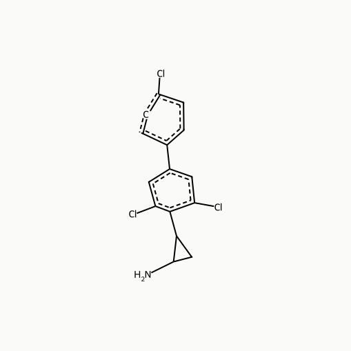 NC1CC1c1c(Cl)cc(-c2ccc(Cl)cc2)cc1Cl